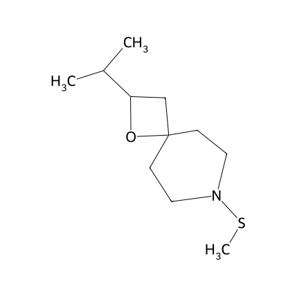 CSN1CCC2(CC1)CC(C(C)C)O2